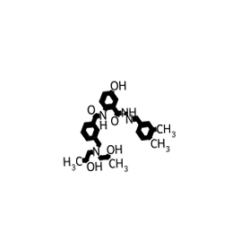 Cc1ccc(/C=N/NC(=O)c2cc(O)ccc2NC(=O)c2cccc(CN(CC(C)O)CC(C)O)c2)cc1C